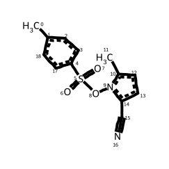 Cc1ccc(S(=O)(=O)On2c(C)ccc2C#N)cc1